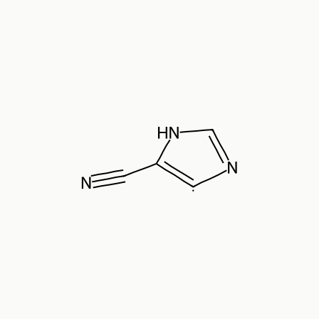 N#Cc1[c]nc[nH]1